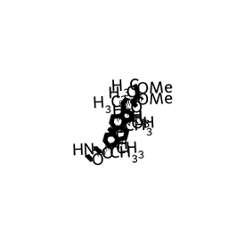 CO[C@@H]([C@H]1C[C@@H](C)[C@H]2[C@H](O1)[C@H](O)[C@@]1(C)[C@@H]3CC[C@H]4C(C)(C)[C@@H](O[C@H]5CNCCO5)CCC45C[C@@]35CC[C@]21C)C(C)(C)OC